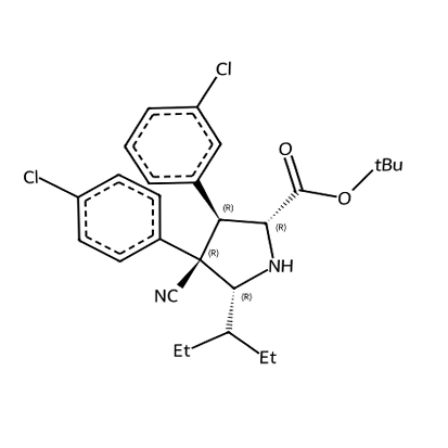 CCC(CC)[C@H]1N[C@@H](C(=O)OC(C)(C)C)[C@H](c2cccc(Cl)c2)[C@@]1(C#N)c1ccc(Cl)cc1